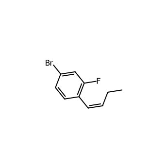 CC/C=C\c1ccc(Br)cc1F